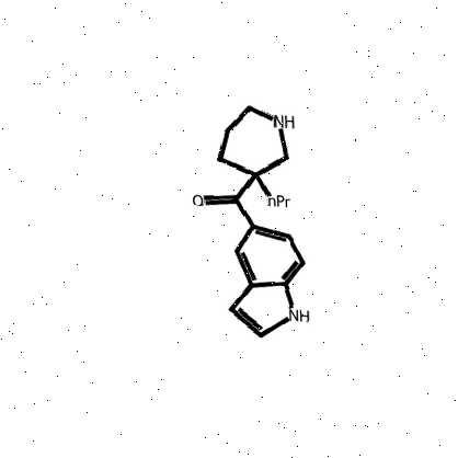 CCCC1(C(=O)c2ccc3[nH]ccc3c2)CCCNC1